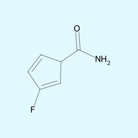 NC(=O)C1C=CC(F)=C1